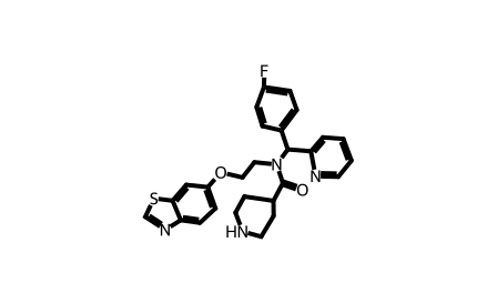 O=C(C1CCNCC1)N(CCOc1ccc2ncsc2c1)C(c1ccc(F)cc1)c1ccccn1